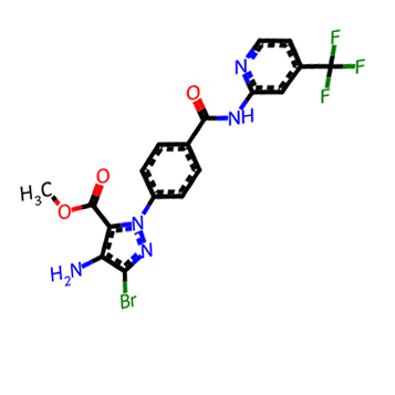 COC(=O)c1c(N)c(Br)nn1-c1ccc(C(=O)Nc2cc(C(F)(F)F)ccn2)cc1